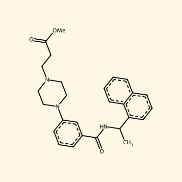 COC(=O)CCN1CCN(c2cccc(C(=O)NC(C)c3cccc4ccccc34)c2)CC1